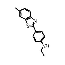 CCNc1ccc(-c2nc3ccc(C)cc3s2)cc1